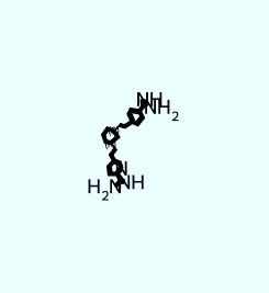 N=C(N)c1ccc(CC[C@@H]2CCC[C@H](CCc3ccc(C(=N)N)nc3)C2)cc1